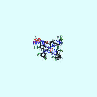 Cn1nc(NS(C)(=O)=O)c2c(Cl)ccc(-n3c([C@H](Cc4cc(F)cc(F)c4)NC(=O)Cn4nc(C(F)F)c5c4C(F)(F)[C@@H]4C[C@H]54)nc4nc(-c5ccnc(C(F)(F)F)n5)ccc4c3=O)c21